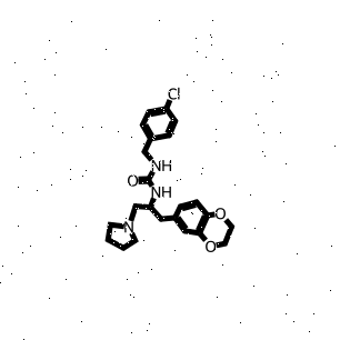 O=C(NCc1ccc(Cl)cc1)NC(Cc1ccc2c(c1)OCCO2)CN1CCCC1